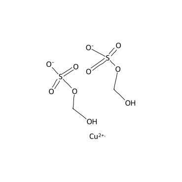 O=S(=O)([O-])OCO.O=S(=O)([O-])OCO.[Cu+2]